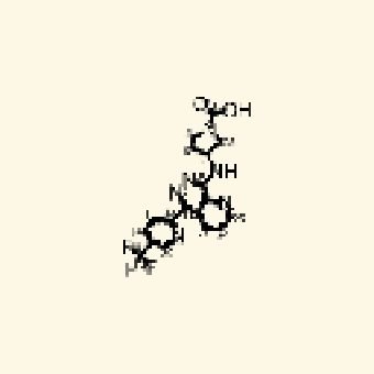 O=C(O)N1CC[C@H](Nc2nnc(-c3ccc(C(F)(F)F)cn3)c3cccnc23)C1